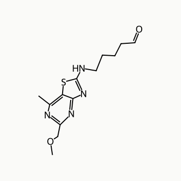 COCc1nc(C)c2sc(NCCCCC=O)nc2n1